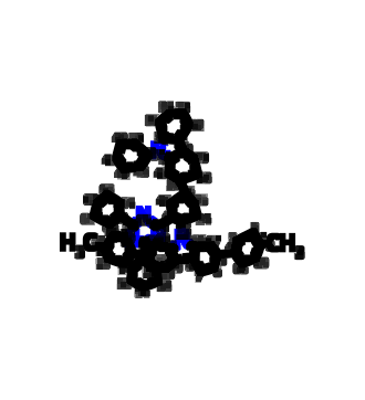 Cc1ccc(-c2ccc3c4ccc(-c5ccc(C)cc5)cc4n(-c4ccc(-c5ccc6c7ccccc7n(-c7ccccc7)c6c5)cc4-c4nc(-c5ccccc5)nc(-c5ccccc5)n4)c3c2)cc1